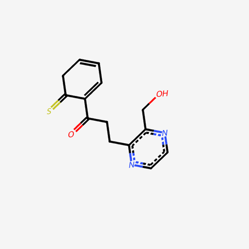 O=C(CCc1nccnc1CO)C1=CC=CCC1=S